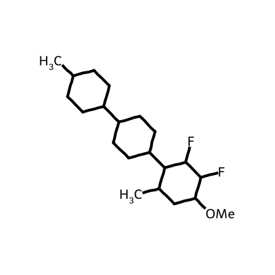 COC1CC(C)C(C2CCC(C3CCC(C)CC3)CC2)C(F)C1F